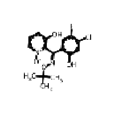 CC(C)(C)ON=C(c1cc(F)c(Cl)cc1O)c1c(O)ccc[n+]1[O-]